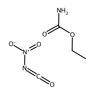 CCOC(N)=O.O=C=N[N+](=O)[O-]